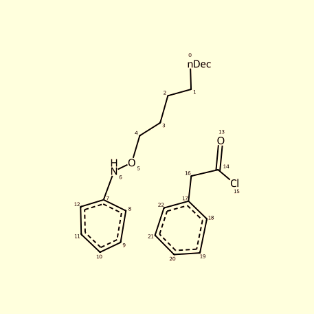 CCCCCCCCCCCCCCONc1ccccc1.O=C(Cl)Cc1ccccc1